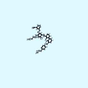 CCNCc1ccc(OCc2cccc(-c3cccc(COc4cc(OCc5cncc(C#N)c5)c(CNCCO)cc4Cl)c3C)c2C)cc1